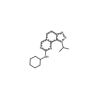 CC(C)n1nnc2ccc3cnc(NC4CCCCC4)nc3c21